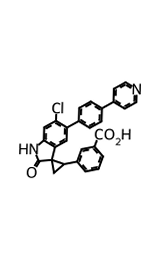 O=C(O)c1cccc(C2CC23C(=O)Nc2cc(Cl)c(-c4ccc(-c5ccncc5)cc4)cc23)c1